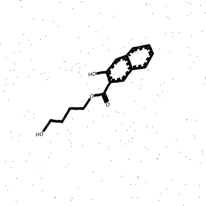 O=C(OCCCCO)c1cc2ccccc2cc1O